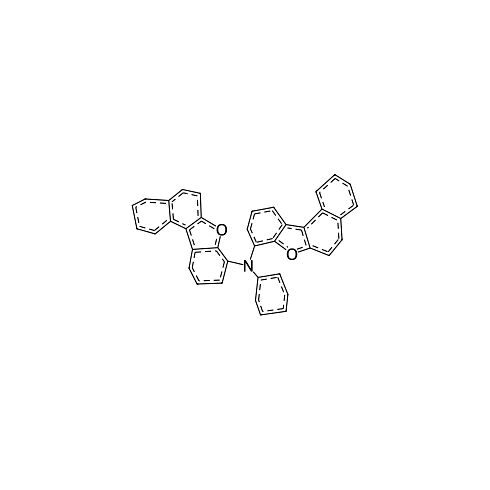 c1ccc(N(c2cccc3c2oc2ccc4ccccc4c23)c2cccc3c2oc2ccc4ccccc4c23)cc1